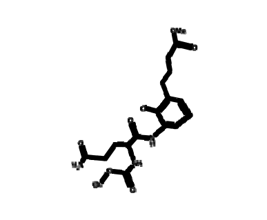 COC(=O)CCCc1cccc(NC(=O)C(CCC(N)=O)NC(=O)OC(C)(C)C)c1Cl